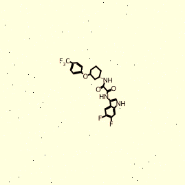 O=C(Nc1c[nH]c2cc(F)c(F)cc12)C(=O)N[C@H]1CCCC(Oc2ccc(C(F)(F)F)cc2)C1